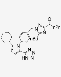 CCCCc1nc(C(=O)CCC)nn1Cc1ccc(-n2c(-c3nnn[nH]3)ccc2C2CCCCC2)cc1